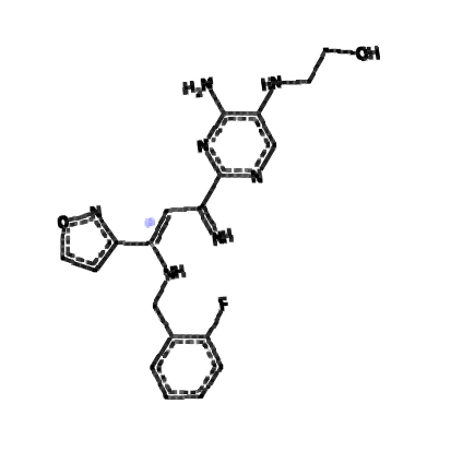 N=C(/C=C(\NCc1ccccc1F)c1ccon1)c1ncc(NCCO)c(N)n1